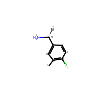 CC[C@@H](N)c1ccc(F)c(C)c1